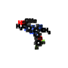 COCC(C)(O)c1cc2nc(-c3cnn(C)c3)c(N3CCC(Oc4ccc(F)cc4F)CC3)nc2cn1